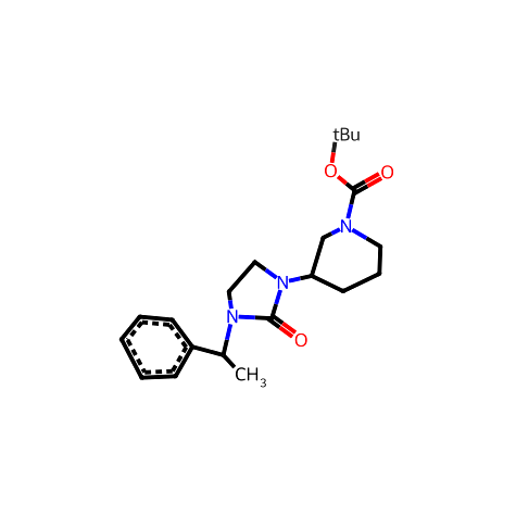 CC(c1ccccc1)N1CCN(C2CCCN(C(=O)OC(C)(C)C)C2)C1=O